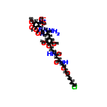 COc1cc(CN(C(=O)O)c2ncc(Cc3cc(OC)c(OCCCNC(=O)CCC(=O)NCCOCCOCCCCCCCl)c(OC)c3)c(N)n2)c([N+](=O)[O-])cc1OC